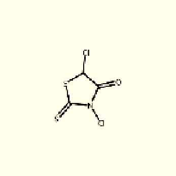 O=C1C(Cl)SC(=S)N1Cl